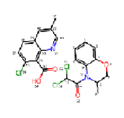 CC1COc2ccccc2N1C(=O)C(Cl)Cl.Cc1cnc2c(C(=O)O)c(Cl)ccc2c1